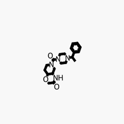 CC(c1ccccc1)N1CCN(C(=O)N2CCC3OCC(=O)NC3C2)CC1